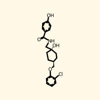 O=C(NC[C@]1(O)CC[C@H](COc2ccccc2Cl)CC1)c1ccc(O)cc1